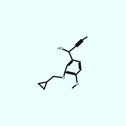 CC#CC(O)c1ccc(OC)c(OCC2CC2)c1